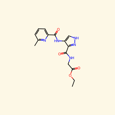 CCOC(=O)CNC(=O)c1n[nH]cc1NC(=O)c1cccc(C)n1